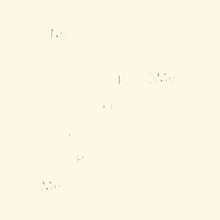 COP(C)OC(CCC#N)OP(C)OC